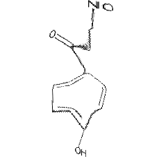 O=NCC(=O)c1ccc(O)cc1